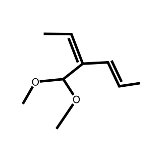 CC=CC(=CC)C(OC)OC